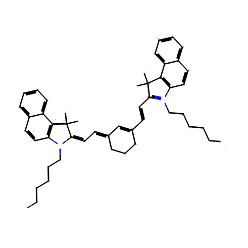 CC1(C)C(/C=C/C2=CC(=C/C=C3/N(CCCCCC(=O)O)c4ccc5ccccc5c4C3(C)C)/CCC2)=[N+](CCCCCC(=O)O)c2ccc3ccccc3c21